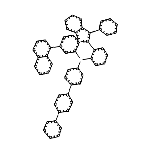 c1ccc(-c2ccc(-c3ccc(N(c4cccc(-c5cccc6ccccc56)c4)c4ccccc4-c4oc5ccccc5c4-c4ccccc4)cc3)cc2)cc1